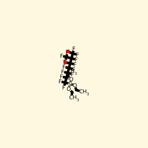 CCO[Si](OCC)(OCC)C(F)(F)C(F)(F)C(F)(F)C(F)(F)C(F)(F)C(F)(C(F)(F)F)C(F)(F)F